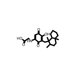 CC1CCC2(C)CCCCC2C1(C)CC1=C(O)C(=O)C=C(NCC(=O)O)C1=O